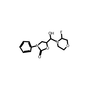 O=C1OC(C(O)N2CCOCC2F)CN1c1ccccc1